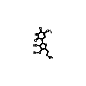 Cc1cn(C2OC(COC(C)C)C(OC(C)C)C2O)c(=O)[nH]c1=O